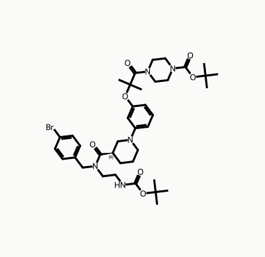 CC(C)(C)OC(=O)NCCN(Cc1ccc(Br)cc1)C(=O)[C@@H]1CCCN(c2cccc(OC(C)(C)C(=O)N3CCN(C(=O)OC(C)(C)C)CC3)c2)C1